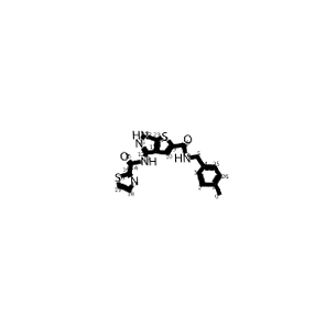 Cc1ccc(CNC(=O)c2cc3c(NC(=O)c4nccs4)n[nH]c3s2)cc1